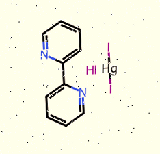 I.[I][Hg][I].c1ccc(-c2ccccn2)nc1